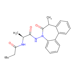 CC1C(=O)N(NC(=O)[C@H](C)NC(=O)CC(C)(C)C)c2ccccc2-c2ccccc21